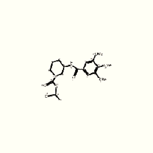 COc1cc(C(=O)NC2CCCN(C(=O)OC(C)Cl)C2)cc(OC)c1OC